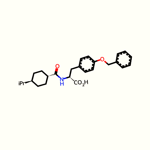 CC(C)[C@H]1CC[C@H](C(=O)N[C@H](Cc2ccc(OCc3ccccc3)cc2)C(=O)O)CC1